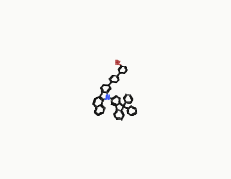 Brc1cccc(-c2ccc(-c3ccc4c5ccc6ccccc6c5n(-c5ccc6c(c5)-c5ccccc5C6(c5ccccc5)c5ccccc5)c4c3)cc2)c1